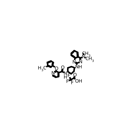 Cc1cccc(Oc2ncccc2C(=O)N[C@H]2CC[C@@H](Nc3nc(N(C)C)c4ccccc4n3)CC2)c1.O=C(O)C(F)(F)F